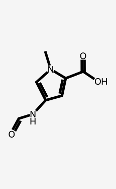 Cn1cc(NC=O)cc1C(=O)O